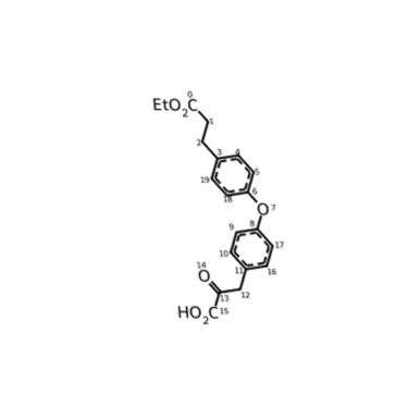 CCOC(=O)CCc1ccc(Oc2ccc(CC(=O)C(=O)O)cc2)cc1